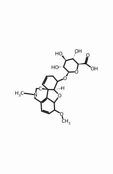 COC1C=CC2=C3C1O[C@@H]1C(O[C@@H]4O[C@H](C(=O)O)[C@@H](O)[C@H](O)[C@H]4O)CC=C[C@@]31CCN(C)C2